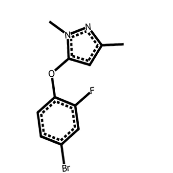 Cc1cc(Oc2ccc(Br)cc2F)n(C)n1